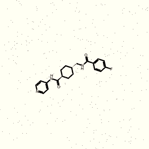 O=C(NC[C@H]1CC[C@H](C(=O)Nc2ccncc2)CC1)c1ccc(F)cc1